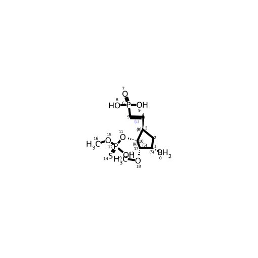 B[C@H]1C[C@H](/C=C/P(=O)(O)O)[C@@H](OP(O)(=S)OC)[C@H]1OC